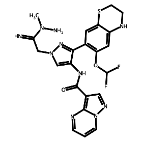 CN(N)C(=N)Cn1cc(NC(=O)c2cnn3cccnc23)c(-c2cc3c(cc2OC(F)F)NCCS3)n1